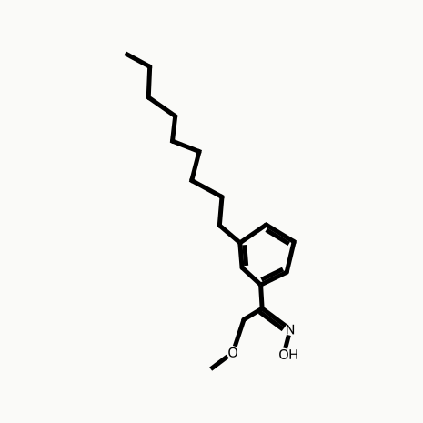 CCCCCCCCCc1cccc(C(COC)=NO)c1